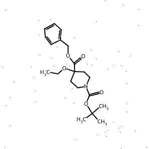 CCOC1(C(=O)OCc2ccccc2)CCN(C(=O)OC(C)(C)C)CC1